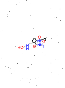 NC(=O)c1c([CH]CNCCO)cccc1NC(=O)c1ccco1